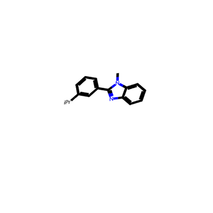 CC(C)c1cccc(-c2nc3ccccc3n2C)c1